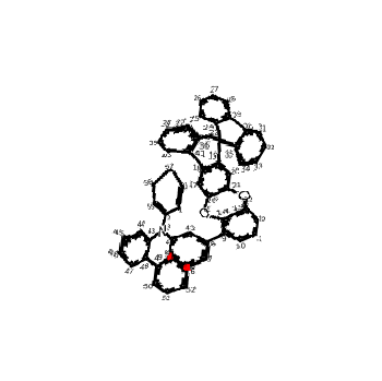 C1=CC(N(c2cccc(-c3cccc4c3Oc3cc5c(cc3O4)C3(c4ccccc4-c4ccccc43)c3ccccc3-5)c2)c2ccccc2-c2ccccc2)=CCC1